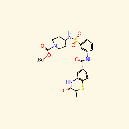 CC1Sc2ccc(C(=O)Nc3cccc(S(=O)(=O)NC4CCN(C(=O)OC(C)(C)C)CC4)c3)cc2NC1=O